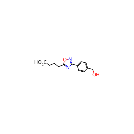 O=C(O)CCCc1nc(-c2ccc(CO)cc2)no1